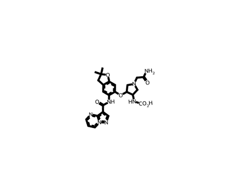 CC1(C)Cc2cc(NC(=O)c3cnn4cccnc34)c(OC3CN(CC(N)=O)CC3NC(=O)O)cc2O1